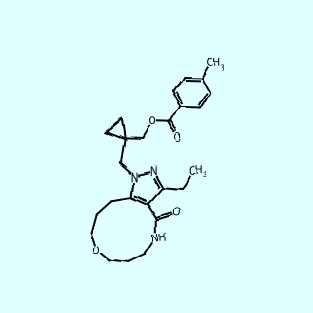 CCc1nn(CC2(COC(=O)c3ccc(C)cc3)CC2)c2c1C(=O)NCCCOCCC2